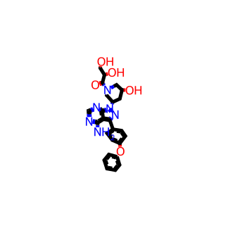 Nc1ncnc2c1c(-c1ccc(Oc3ccccc3)cc1)nn2C1CC(O)CN(C(=O)C(O)CO)C1